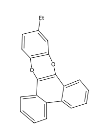 CCc1ccc2c(c1)Oc1c(c3ccccc3c3ccccc13)O2